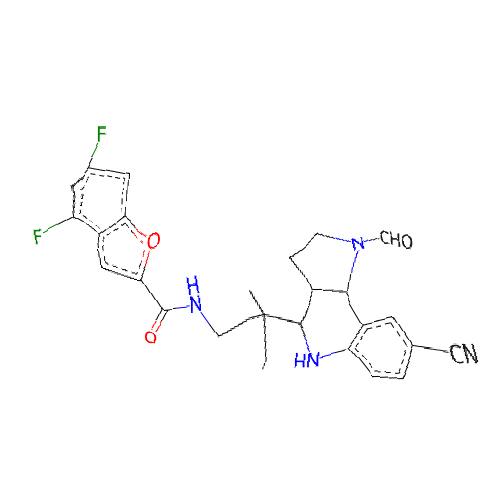 CC(C)(CNC(=O)c1cc2c(F)cc(F)cc2o1)C1Nc2ccc(C#N)cc2C2C1CCN2C=O